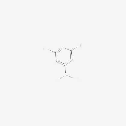 CCCCN(C)c1cc(C)nc(C)c1